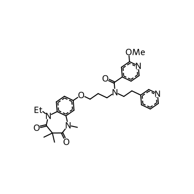 CCN1C(=O)C(C)(C)C(=O)N(C)c2cc(OCCCN(CCc3cccnc3)C(=O)c3ccnc(OC)c3)ccc21